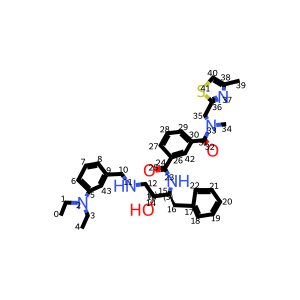 CCN(CC)c1cccc(CNC[C@@H](O)[C@H](Cc2ccccc2)NC(=O)c2cccc(C(=O)N(C)Cc3nc(C)cs3)c2)c1